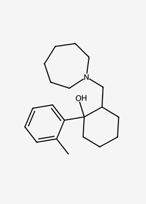 Cc1ccccc1C1(O)CCCCC1CN1CCCCCC1